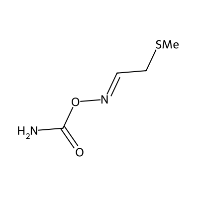 CSCC=NOC(N)=O